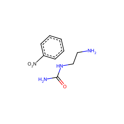 NCCNC(N)=O.O=[N+]([O-])c1ccccc1